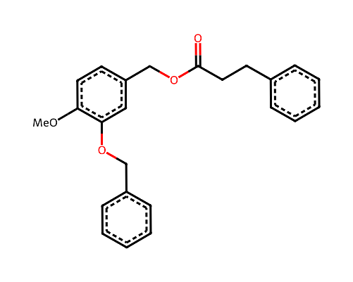 COc1ccc(COC(=O)CCc2ccccc2)cc1OCc1ccccc1